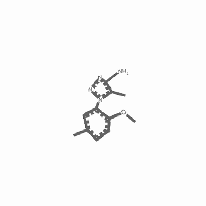 COc1ccc(C)cc1-n1nnc(N)c1C